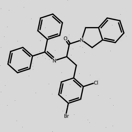 O=C(C(Cc1ccc(Br)cc1Cl)N=C(c1ccccc1)c1ccccc1)N1Cc2ccccc2C1